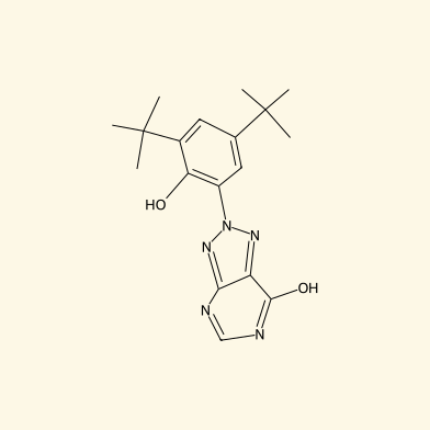 CC(C)(C)c1cc(-n2nc3ncnc(O)c3n2)c(O)c(C(C)(C)C)c1